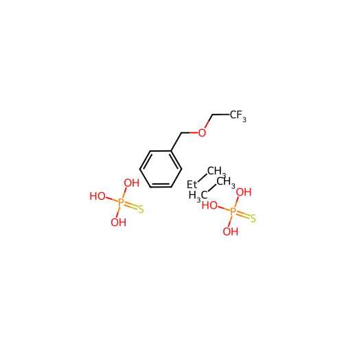 CC.CCC.FC(F)(F)COCc1ccccc1.OP(O)(O)=S.OP(O)(O)=S